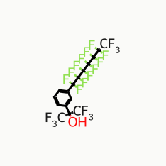 OC(c1cccc(C(F)(F)C(F)(F)C(F)(F)C(F)(F)C(F)(F)C(F)(F)C(F)(F)F)c1)(C(F)(F)F)C(F)(F)F